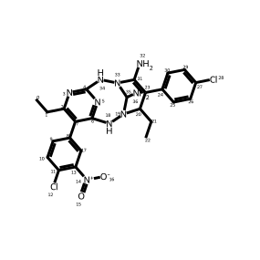 CCc1nc2nc(c1-c1ccc(Cl)c([N+](=O)[O-])c1)NN1C(CC)C(c3ccc(Cl)cc3)=C(N)N(N2)C1N